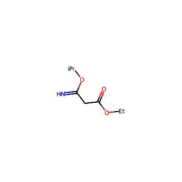 CCOC(=O)CC(=N)OC(C)C